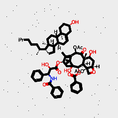 CC(=O)O[C@H]1C(=O)[C@@]2(C)[C@H]([C@H](OC(=O)c3ccccc3)[C@]3(O)C[C@H](OC(=O)[C@H](O)[C@@H](NC(=O)c4ccccc4)c4ccccc4)C(C)=C1C3(C)C)[C@]1(OC(C)=O)CO[C@@H]1C[C@@H]2O.CC(C)CCC[C@@H](C)[C@H]1CC[C@H]2[C@@H]3CC=C4C[C@@H](O)CC[C@]4(C)[C@H]3CC[C@]12C